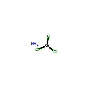 N.[Cl][Sb]([Cl])[Cl]